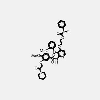 COc1ccc(S(=O)(=O)Nc2nccc(OCCOC(=O)N(F)c3ccccc3)c2Oc2ccccc2OC)cc1OCC(=O)N1CCCCC1